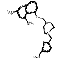 COc1ccc(CN2CCC(COc3cccc4nc(C)cc(N)c34)CC2)cc1